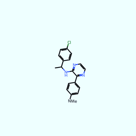 CNc1ccc(-c2nccnc2NC(C)c2ccc(Cl)cc2)cc1